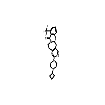 O=C(c1c(F)cccc1C(F)(F)F)N1CCc2cnc(N3CCN(C4CCC4)CC3)nc2CC1